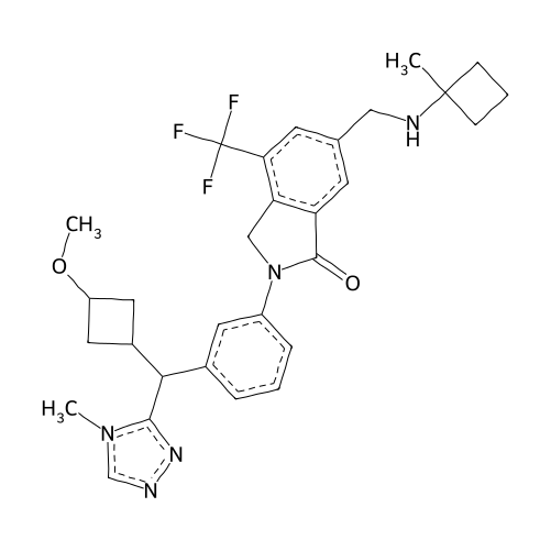 COC1CC(C(c2cccc(N3Cc4c(cc(CNC5(C)CCC5)cc4C(F)(F)F)C3=O)c2)c2nncn2C)C1